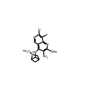 CSc1nc2c(F)c(Cl)ncc2c(NC2C3CC2N(C(=O)O)C3)c1N